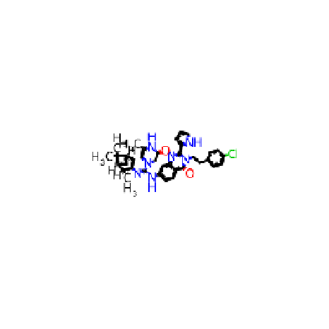 C[C@@H]1C(/N=C(/Nc2ccc3c(=O)n(CCc4ccc(Cl)cc4)c(-c4ccc[nH]4)nc3c2)N2CC(=O)N[C@@H](C)C2)C[C@H]2C[C@@H]1C2(C)C